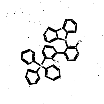 N#Cc1cccc(-c2cccc([Si](c3ccccc3)(c3ccccc3)c3ccccc3)c2C#N)c1-n1c2ccccc2c2ccccc21